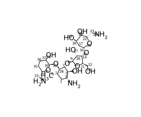 C[C@H]1C[C@@H](N)[C@H](O)[C@@H](O[C@@H]2O[C@H](CO)[C@@H](O[C@@H]3C[C@@H](O)[C@H](O)[C@H](CN)O3)[C@H]2O)[C@@H]1O[C@H]1O[C@H](CN)CC[C@H]1O